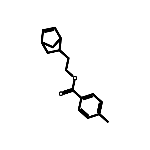 Cc1ccc(C(=O)OCCC2CC3C=CC2C3)cc1